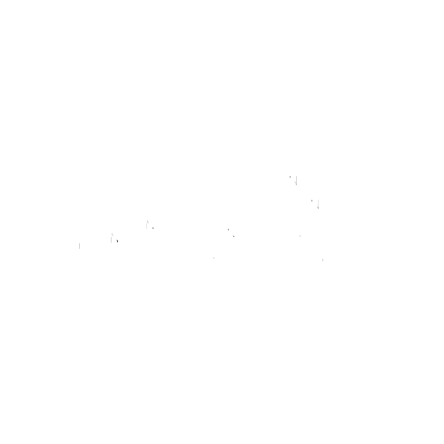 CCCN1CCN(C/C=C/C(=O)N2CCc3c(sc4ncnc(OC(c5ccccc5)C(F)(F)F)c34)C2)CC1